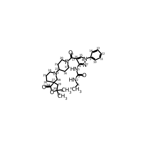 CCNC(=O)Nc1nn(-c2ccccc2)cc1C(=O)N1CCC(N2CCCC3(C2)CC(C)(C)OC3=O)CC1